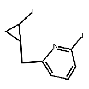 Ic1cccc(CC2CC2I)n1